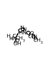 Cc1ccc(Oc2ccc(Nc3ncnc4ccc(C#CC(C)(C)NC(=O)CO)cc34)cc2C)cn1